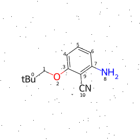 CC(C)(C)COc1cccc(N)c1C#N